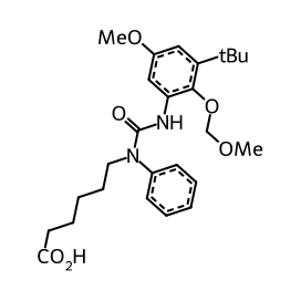 COCOc1c(NC(=O)N(CCCCCC(=O)O)c2ccccc2)cc(OC)cc1C(C)(C)C